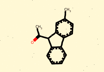 CC(=O)C1c2ccccc2-c2ccc(C)cc21